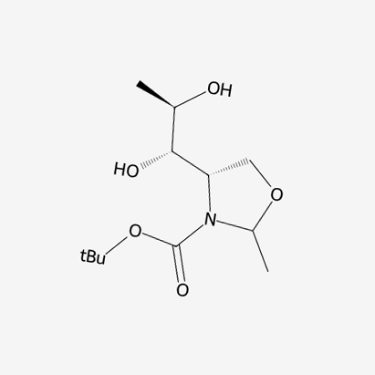 CC1OC[C@@H]([C@H](O)[C@@H](C)O)N1C(=O)OC(C)(C)C